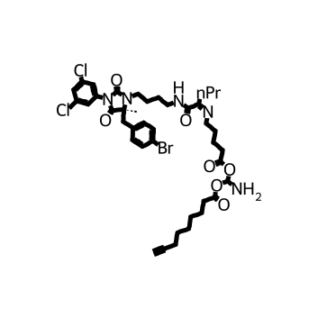 C#CCCCCCCC(=O)OC(N)OC(=O)CCCC/N=C(/CCC)C(=O)NCCCCN1C(=O)N(c2cc(Cl)cc(Cl)c2)C(=O)[C@]1(C)Cc1ccc(Br)cc1